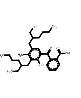 CCCCC(CC)Cc1cc(C(=O)c2ccccc2C(=O)O)c(O)c(CC(CC)CCCC)c1N